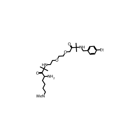 CCc1ccc(CNC(C)(C)C(=O)COCCOCCNC(C)(C)C(=O)C(N)CCCCNC)cc1